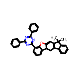 CC1(C)C2=C(CC3C(=C2)Oc2c(-c4nc(-c5ccccc5)nc(-c5ccccc5)n4)cccc23)c2ccccc21